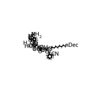 CCCCCCCCCCCCCCCCCCOC[C@H](COP(=O)(O)OC[C@H]1O[C@@](C)(c2ccc3c(N)ncnn23)[C@H](O)[C@@H]1O)OCc1ccccc1C#N